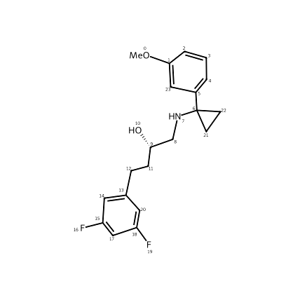 COc1cccc(C2(NC[C@@H](O)CCc3cc(F)cc(F)c3)CC2)c1